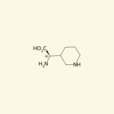 N[C@@H](C(=O)O)C1CCCNC1